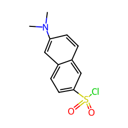 CN(C)c1ccc2cc(S(=O)(=O)Cl)ccc2c1